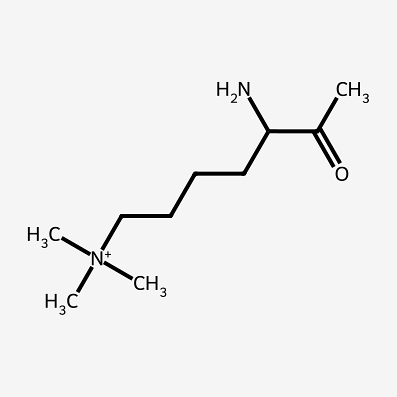 CC(=O)C(N)CCCC[N+](C)(C)C